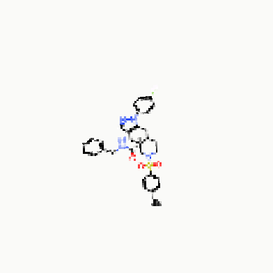 CC(C)(C)c1ccc(S(=O)(=O)N2CCC3Cc4c(cnn4-c4ccc(F)cc4)C[C@]3(C(=O)NCc3ccccc3)C2)cc1